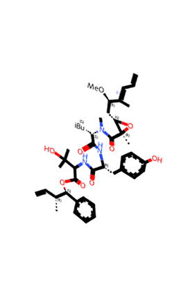 C=C/C=C(\C)[C@@H](C[C@@H]1O[C@@]1(C)C(=O)N(C)[C@H](C(=O)N[C@H](Cc1ccc(O)cc1)C(=O)NC(C(=O)O[C@H](c1ccccc1)[C@H](C)C=C)C(C)(C)O)[C@@H](C)CC)OC